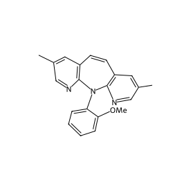 COc1ccccc1N1c2ncc(C)cc2C=Cc2cc(C)cnc21